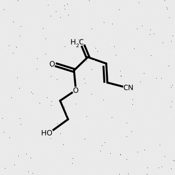 C=C(C=CC#N)C(=O)OCCO